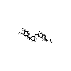 CC(=O)N(C[C@@H]1CN(Cc2ccc(Cl)c(Cl)c2)CCO1)Sc1nnc(N)s1